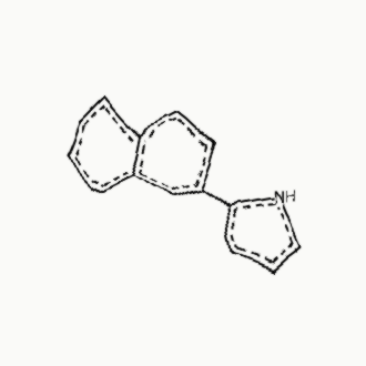 c1c[nH]c(-c2ccc3ccccc3c2)c1